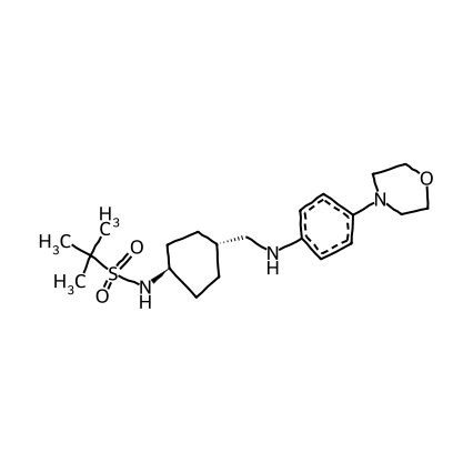 CC(C)(C)S(=O)(=O)N[C@H]1CC[C@H](CNc2ccc(N3CCOCC3)cc2)CC1